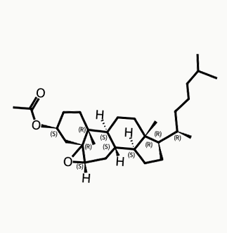 CC(=O)O[C@H]1CC[C@]2(C)[C@H]3CC[C@]4(C)[C@@H]([C@H](C)CCCC(C)C)CC[C@H]4[C@@H]3C[C@@H]3O[C@@]32C1